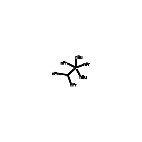 CCCCP(CCC)(CCC)(CCCC)C(CCC)CCC